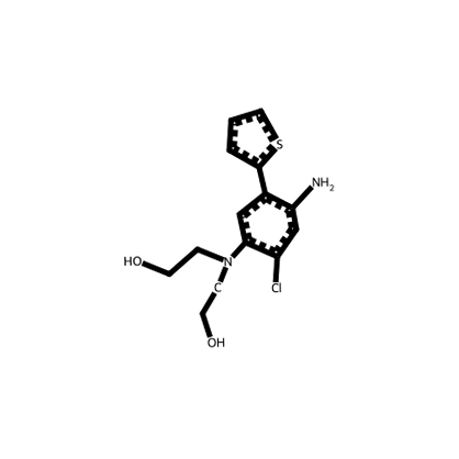 Nc1cc(Cl)c(N(CCO)CCO)cc1-c1cccs1